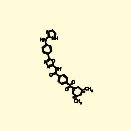 C[C@@H]1C[C@H](C)CN(S(=O)(=O)c2ccc(C(=O)Nc3nnc(-c4ccc(NC5=NCCN5)cc4)o3)cc2)C1